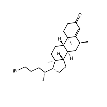 CC(C)CCC[C@@H](C)[C@H]1CC[C@H]2[C@@H]3C[C@H](C)C4=CC(=O)CC[C@]4(C)[C@H]3CC[C@]12C